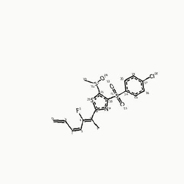 C=C/C=C\C(F)=C(/C)c1nc(S(=O)(=O)c2ccc(Cl)cc2)c([S+](C)[O-])s1